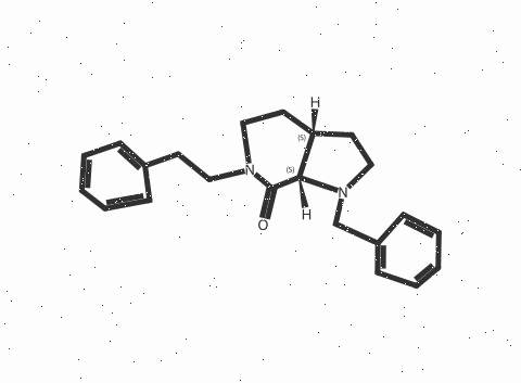 O=C1[C@@H]2[C@H](CCN1CCc1ccccc1)CCN2Cc1ccccc1